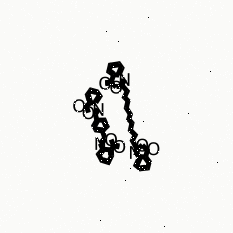 O=c1oc(-c2ccc(-c3nc4ccccc4c(=O)o3)cc2)nc2ccccc12.O=c1oc(CCCCCCCCCCc2nc3ccccc3c(=O)o2)nc2ccccc12